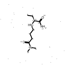 CC[C@H](NCCCC(=O)N(C)C)C(N)=O